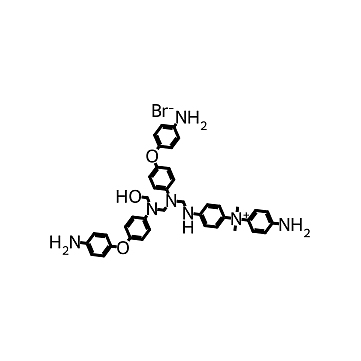 C[N+](C)(c1ccc(N)cc1)c1ccc(NCN(CN(CO)c2ccc(Oc3ccc(N)cc3)cc2)c2ccc(Oc3ccc(N)cc3)cc2)cc1.[Br-]